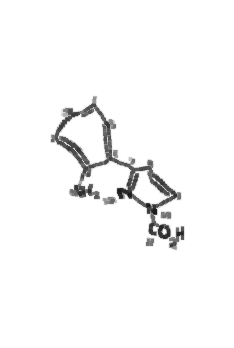 Nc1ccccc1-c1ccn(C(=O)O)n1